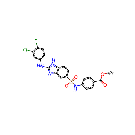 CC(C)OC(=O)c1ccc(NS(=O)(=O)c2ccc3[nH]c(Nc4ccc(F)c(Cl)c4)nc3c2)cc1